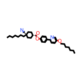 CCCCCCCOc1ccc(-c2ccc(OC(=O)[C@H]3CC[C@@](C#N)(CCCCCCC)CC3)cc2)nc1